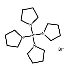 C1CCN([P+](N2CCCC2)(N2CCCC2)N2CCCC2)C1.[Br-]